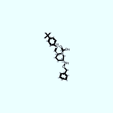 CC(C)(C)c1ccc([SH]=C[C@@H]2CC[C@@H](NOCc3ccccc3)CN2C(=O)O)cc1